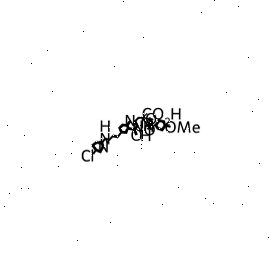 COc1ccc(S(=O)(=O)N[C@@H](Cc2nc3ccc(C=CCNc4ccc(Cl)cn4)cc3c(=O)[nH]2)C(=O)O)cc1